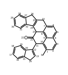 Cc1ccc2ccc3c4c2c1C(C1=CCc2ccccc21)C(=O)C4C1=C(Cc2ccccc21)C3